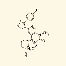 CC[C@@H]1C(=O)N(C)c2cnc(-c3cnsc3-c3ccc(F)cc3)nc2N1c1cccc(C#N)c1